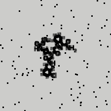 CC(C)(C)OC(=O)NC1CC(N(CC(=O)NCc2cccc(Cl)c2F)C(=O)Cn2nc(C(N)=O)c3ccccc32)C1